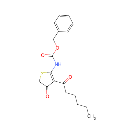 CCCCCC(=O)C1=C(NC(=O)OCc2ccccc2)SCC1=O